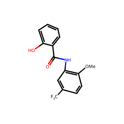 COc1ccc(C(F)(F)F)cc1NC(=O)c1c[c]ccc1O